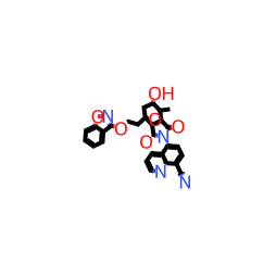 CC12OC(CCOc3noc4ccccc34)(CC1O)C1C(=O)N(c3ccc(C#N)c4ncccc34)C(=O)C12